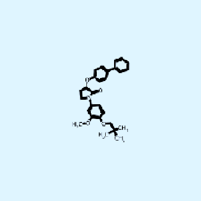 COc1cc(N2CC[C@@H](Oc3ccc(-c4ccccc4)cc3)C2=O)ccc1OCC(C)(C)C